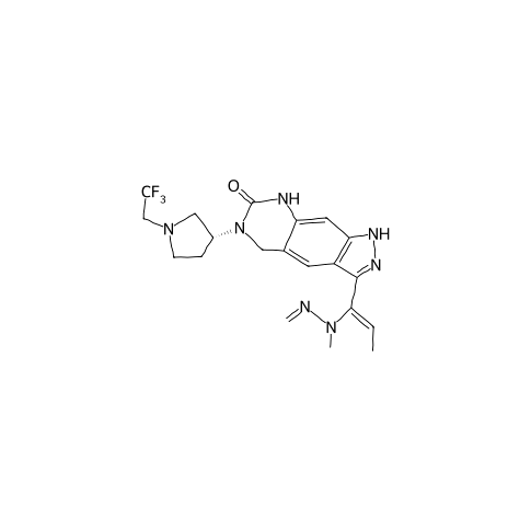 C=NN(C)/C(=C\C)c1n[nH]c2cc3c(cc12)CN([C@@H]1CCN(CC(F)(F)F)C1)C(=O)N3